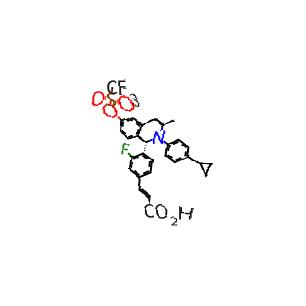 C[C@@H]1Cc2cc(OS(=O)(=O)C(F)(F)F)ccc2[C@@H](c2ccc(/C=C/C(=O)O)cc2F)N1c1ccc(C2CC2)cc1